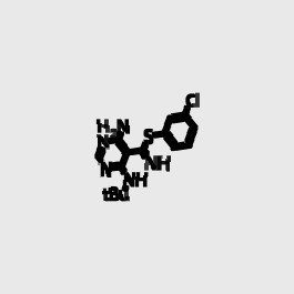 CC(C)(C)Nc1ncnc(N)c1C(=N)Sc1cccc(Cl)c1